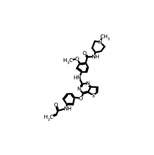 C=CC(=O)Nc1cccc(Oc2nc(Nc3ccc(C(=O)NC4CCN(C)CC4)c(OC)c3)nc3ccsc23)c1